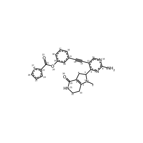 CN1C2=C(CC1c1nc(N)ncc1C#Cc1cccc(OC(=O)c3cccs3)c1)C(=O)NCC2